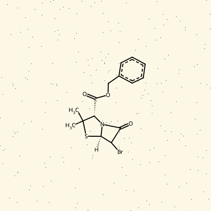 CC1(C)S[C@@H]2C(Br)C(=O)N2[C@H]1C(=O)OCc1ccccc1